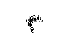 CSC1O[C@H]([C@H](NC(=O)C2CC[C@H](C3CCC(=O)CC3)CCN2)[C@H](C)Cl)C(O)C(O)[C@H]1O